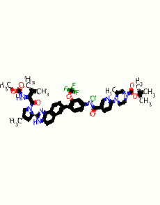 COC(=O)NC(C(=O)N1C[C@@H](C)C[C@H]1c1nc2c(ccc3cc(-c4ccc(N(Cl)C(=O)c5ccc(N6CCN(C(=O)OC(C)(C)C)CC6C)nc5)cc4OC(F)(F)F)ccc32)[nH]1)C(C)C